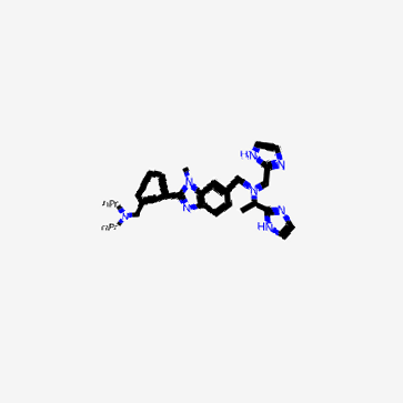 CCCN(CCC)Cc1cccc(-c2nc3ccc(CN(Cc4ncc[nH]4)C(C)c4ncc[nH]4)cc3n2C)c1